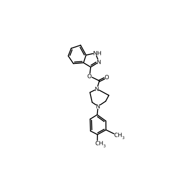 Cc1ccc(N2CCN(C(=O)Oc3n[nH]c4ccccc34)CC2)cc1C